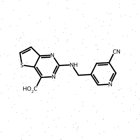 N#Cc1cncc(CNc2nc(C(=O)O)c3sccc3n2)c1